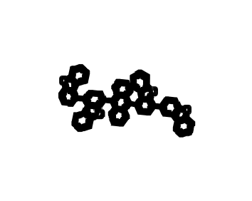 c1ccc2c(c1)oc1ccc(-c3ccc(-c4c5ccccc5c(-c5ccc(-c6cccc7oc8ccccc8c67)c6c5oc5ccccc56)c5ccccc45)c4c3oc3ccccc34)cc12